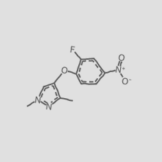 Cc1nn(C)cc1Oc1ccc([N+](=O)[O-])cc1F